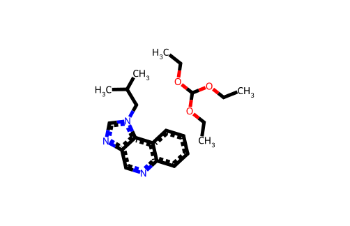 CC(C)Cn1cnc2cnc3ccccc3c21.CCOC(OCC)OCC